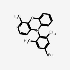 Cc1cc(C(C)(C)C)cc(C)c1N1c2ccccc2Oc2c1ccnc2C